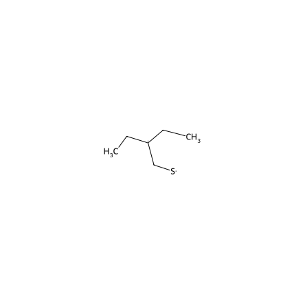 CC[C](CC)C[S]